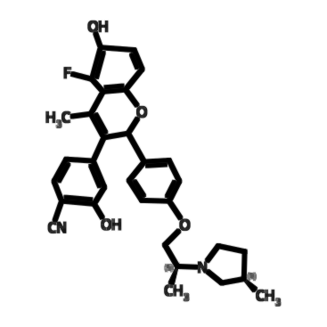 CC1=C(c2ccc(C#N)c(O)c2)C(c2ccc(OC[C@H](C)N3CC[C@@H](C)C3)cc2)Oc2ccc(O)c(F)c21